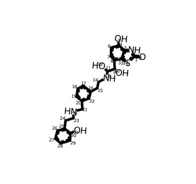 O=c1[nH]c2c(O)ccc(C(O)C(O)NCCc3cccc(CNCCc4ccccc4O)c3)c2s1